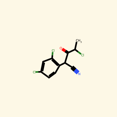 CC(Cl)C(=O)C(C#N)c1ccc(Cl)cc1Cl